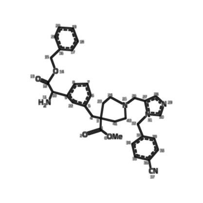 COC(=O)C1(Cc2cccc(C(N)C(=O)OCc3ccccc3)c2)CCN(Cc2cncn2Cc2ccc(C#N)cc2)CC1